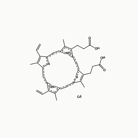 C=CC1=C(C)c2cc3[nH]c(cc4nc(cc5[nH]c(cc1n2)c(C)c5CCC(=O)O)C(CCC(=O)O)=C4C)c(C)c3C=C.[Gd]